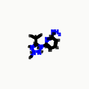 CC(C)c1n[n+](C)nn1-c1cccc(N)n1